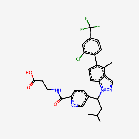 Cc1c(-c2ccc(C(F)(F)F)cc2Cl)ccc2c1cnn2C(CC(C)C)c1ccc(C(=O)NCCC(=O)O)nc1